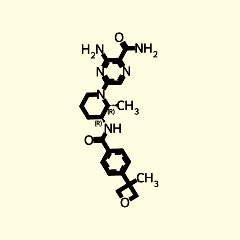 C[C@@H]1[C@H](NC(=O)c2ccc(C3(C)COC3)cc2)CCCN1c1cnc(C(N)=O)c(N)n1